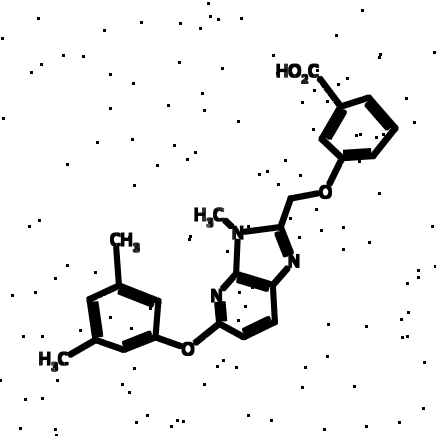 Cc1cc(C)cc(Oc2ccc3nc(COc4cccc(C(=O)O)c4)n(C)c3n2)c1